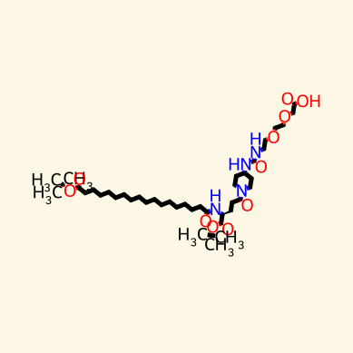 CC(C)(C)OC(=O)CCCCCCCCCCCCCCCCC(=O)N[C@@H](CCC(=O)N1CCC(NC(=O)NCCOCCOCC(=O)O)CC1)C(=O)OC(C)(C)C